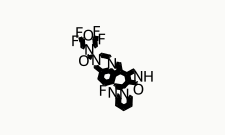 O=C1NCC(c2cn3c4c(cc(F)cc24)CN(C(=O)N2CC(F)(F)OC(F)(F)C2)CC3)=C1c1cnc2ccccn12